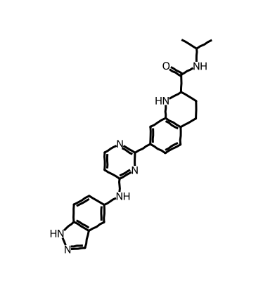 CC(C)NC(=O)C1CCc2ccc(-c3nccc(Nc4ccc5[nH]ncc5c4)n3)cc2N1